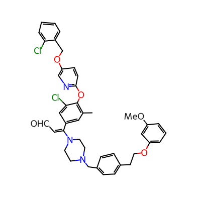 COc1cccc(OCCc2ccc(CN3CCN(/C(=C/C=O)c4cc(C)c(Oc5ccc(OCc6ccccc6Cl)cn5)c(Cl)c4)CC3)cc2)c1